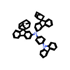 c1ccc2c(c1)-c1cc(N(c3ccc(-n4c5ccccc5c5ccccc54)cc3)c3ccc4c(c3)C3(c5ccccc5-4)C4CCC5CC(C4)CC3C5)ccc1C21CC2CCC1C2